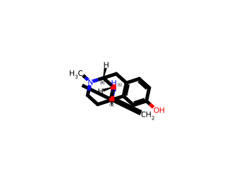 C=C1C[C@]23CCN(C)[C@H](Cc4ccc(O)cc42)[C@@H]3CN1